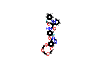 O=C(Nc1ccc(Oc2ncnc3cc4c(cc23)OCCOCCOCCO4)c(F)c1)c1c2n(n(-c3ccccc3F)c1=O)CCCC2